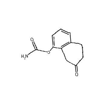 NC(=O)Oc1cccc2c1CC(=O)CC2